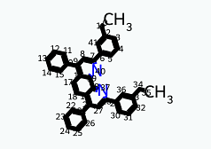 CCc1cccc(-c2cc(-c3ccccc3)c3ccc4c(-c5ccccc5)cc(-c5cccc(CC)c5)nc4c3n2)c1